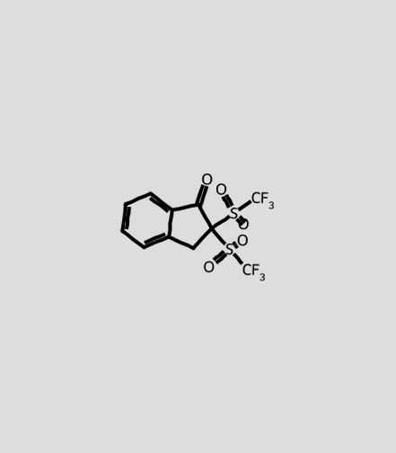 O=C1c2ccccc2CC1(S(=O)(=O)C(F)(F)F)S(=O)(=O)C(F)(F)F